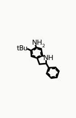 CC(C)(C)c1cc2c(cc1N)NC(c1ccccc1)C2